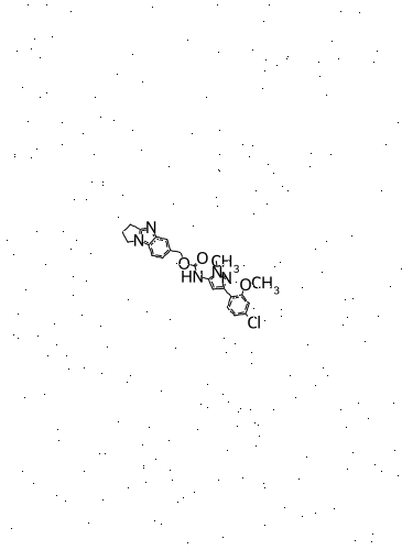 COc1cc(Cl)ccc1-c1cc(NC(=O)OCc2ccc3c(c2)nc2n3CCC2)n(C)n1